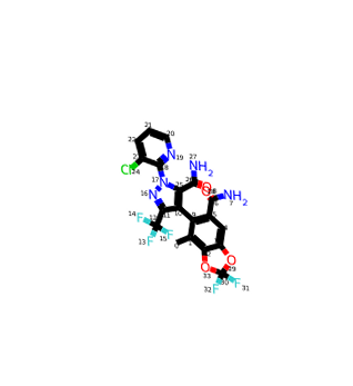 Cc1c2c(cc(C(N)=O)c1-c1c(C(F)(F)F)nn(-c3ncccc3Cl)c1C(N)=O)OC(F)(F)O2